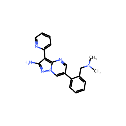 CN(C)Cc1ccccc1-c1cnc2c(-c3ccccn3)c(N)nn2c1